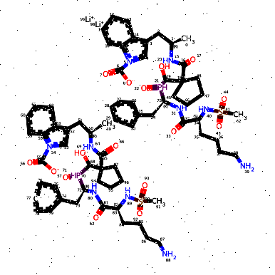 C[C@H](Cc1cn(C(=O)[O-])c2ccccc12)NC(=O)C1(C(O)[PH](=O)[C@H](Cc2ccccc2)NC(=O)[C@H](CCCCN)NS(C)(=O)=O)CCCC1.C[C@H](Cc1cn(C(=O)[O-])c2ccccc12)NC(=O)C1(C(O)[PH](=O)[C@H](Cc2ccccc2)NC(=O)[C@H](CCCCN)NS(C)(=O)=O)CCCC1.[Li+].[Li+]